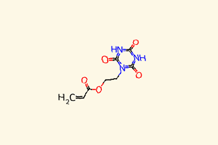 C=CC(=O)OCCn1c(=O)[nH]c(=O)[nH]c1=O